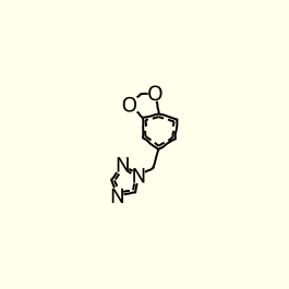 c1ncn(Cc2ccc3c(c2)OCO3)n1